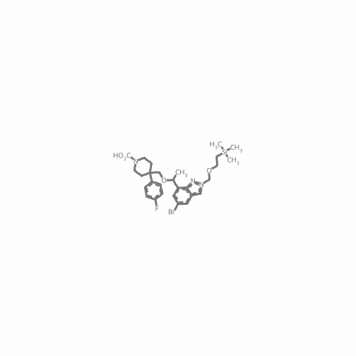 CC(OCC1(c2ccc(F)cc2)CCN(C(=O)O)CC1)c1cc(Br)cc2cn(COCC[Si](C)(C)C)nc12